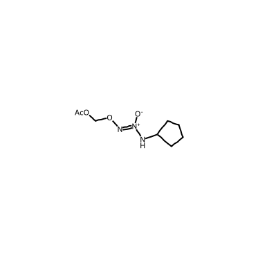 CC(=O)OCO/N=[N+](\[O-])NC1CCCC1